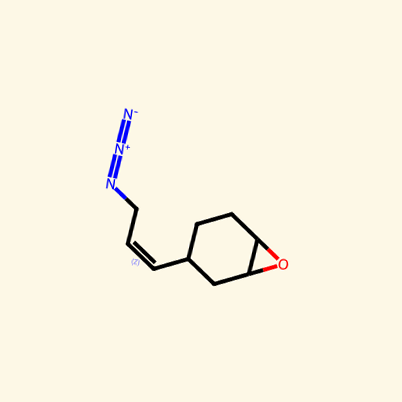 [N-]=[N+]=NC/C=C\C1CCC2OC2C1